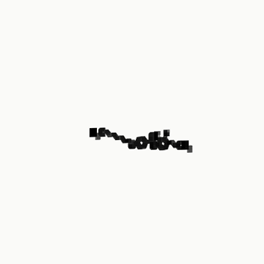 CCCCCCCCOc1ccc(C(=O)Oc2ccc(CCC)c(F)c2F)cc1